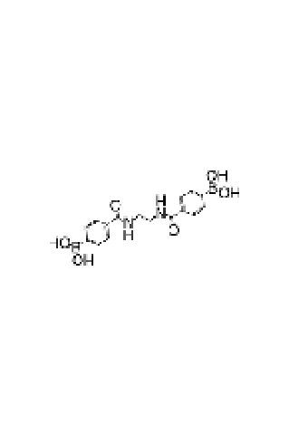 O=C(NCCNC(=O)c1ccc(B(O)O)cc1)c1ccc(B(O)O)cc1